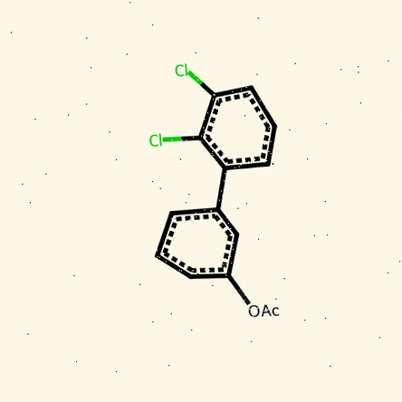 CC(=O)Oc1cccc(-c2[c]ccc(Cl)c2Cl)c1